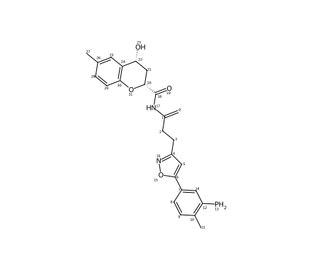 C=C(CCc1cc(-c2ccc(C)c(P)c2)on1)NC(=O)[C@H]1C[C@@H](O)c2cc(C)ccc2O1